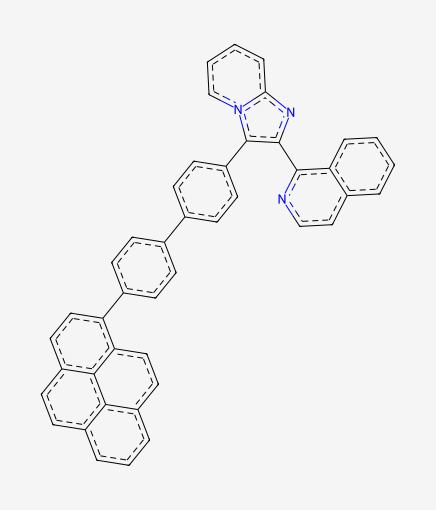 c1ccc2c(-c3nc4ccccn4c3-c3ccc(-c4ccc(-c5ccc6ccc7cccc8ccc5c6c78)cc4)cc3)nccc2c1